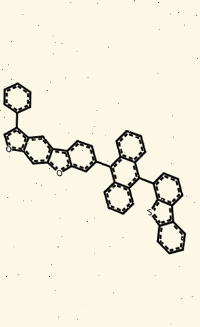 c1ccc(-c2coc3cc4oc5cc(-c6c7ccccc7c(-c7cccc8c7sc7ccccc78)c7ccccc67)ccc5c4cc23)cc1